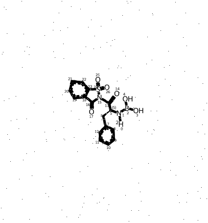 [2H]N(B(O)O)[C@@H](Cc1ccccc1)C(=O)N1C(=O)c2ccccc2S1(=O)=O